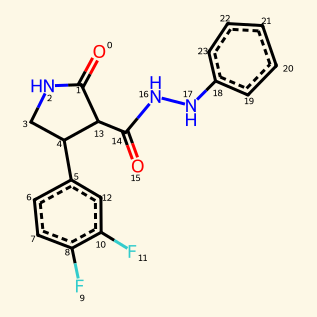 O=C1NCC(c2ccc(F)c(F)c2)C1C(=O)NNc1ccccc1